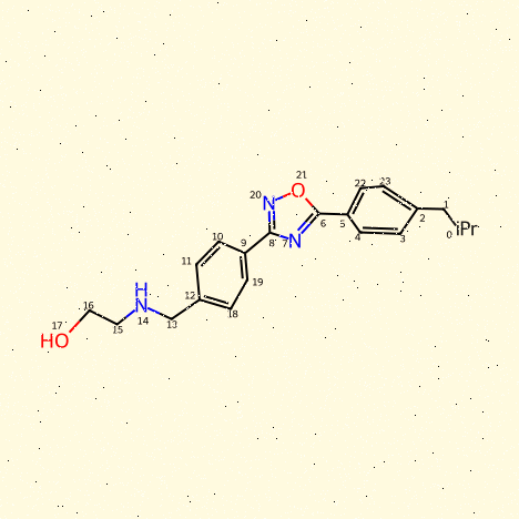 CC(C)Cc1ccc(-c2nc(-c3ccc(CNCCO)cc3)no2)cc1